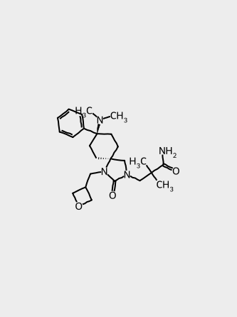 CN(C)[C@]1(c2ccccc2)CC[C@]2(CC1)CN(CC(C)(C)C(N)=O)C(=O)N2CC1COC1